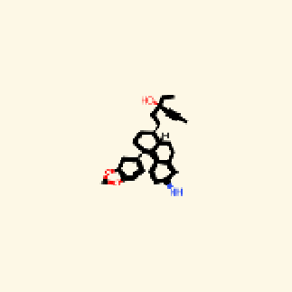 CC#C[C@@](O)(CC)CC[C@@H]1CC[C@H](c2ccc3c(c2)OCO3)C2=C3CCC(=N)C=C3CC[C@H]21